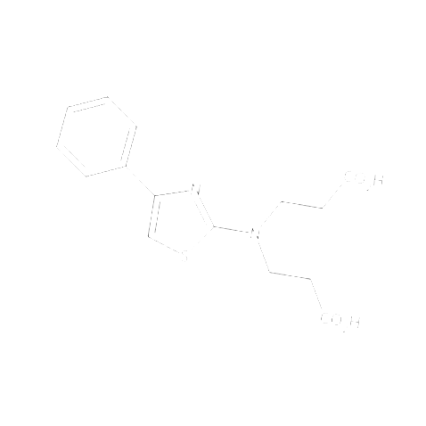 O=C(O)CCN(CCC(=O)O)c1nc(-c2ccccc2)cs1